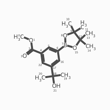 COC(=O)c1cc(B2OC(C)(C)C(C)(C)O2)cc(C(C)(C)O)c1